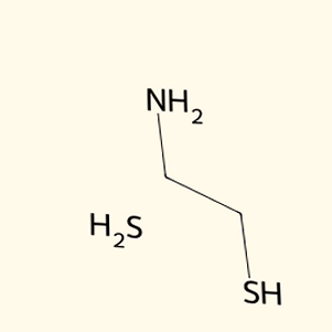 NCCS.S